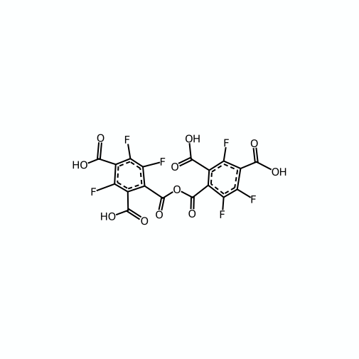 O=C(O)c1c(F)c(F)c(C(=O)OC(=O)c2c(F)c(F)c(C(=O)O)c(F)c2C(=O)O)c(C(=O)O)c1F